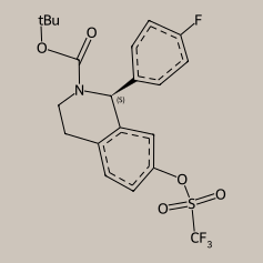 CC(C)(C)OC(=O)N1CCc2ccc(OS(=O)(=O)C(F)(F)F)cc2[C@@H]1c1ccc(F)cc1